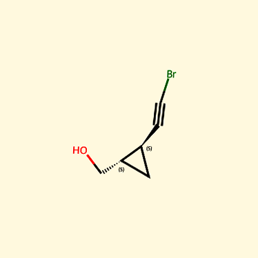 OC[C@H]1C[C@@H]1C#CBr